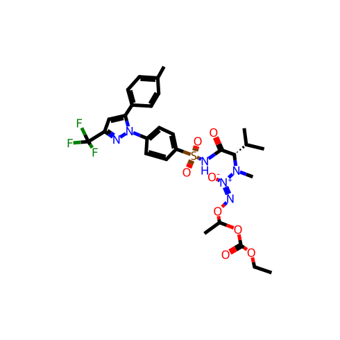 CCOC(=O)OC(C)O/N=[N+](\[O-])N(C)[C@H](C(=O)NS(=O)(=O)c1ccc(-n2nc(C(F)(F)F)cc2-c2ccc(C)cc2)cc1)C(C)C